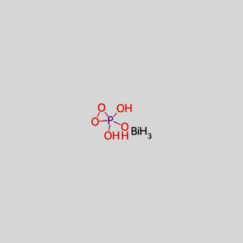 OP1(O)(O)OO1.[BiH3]